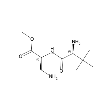 COC(=O)[C@H](CN)NC(=O)[C@@H](N)C(C)(C)C